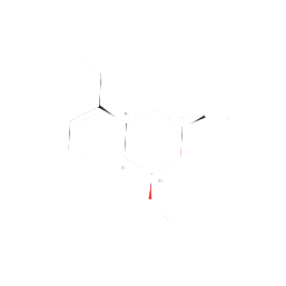 C/C=C(/CC)[C@H]1C[C@@H](C)O[C@@H](OC)[C@@H]1O